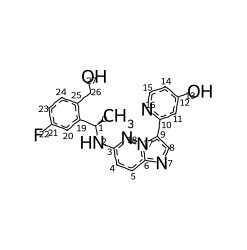 C[C@@H](Nc1ccc2ncc(-c3cc(O)ccn3)n2n1)c1cc(F)ccc1CO